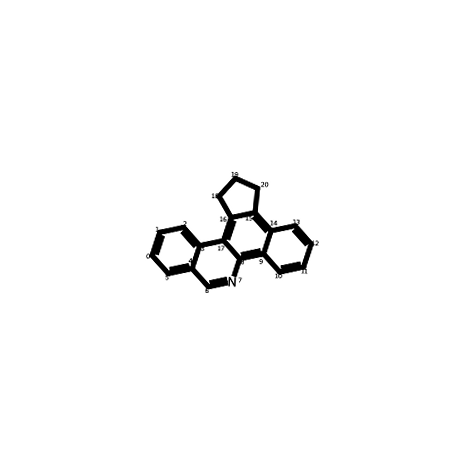 c1ccc2c(c1)cnc1c3ccccc3c3c(c21)CCC3